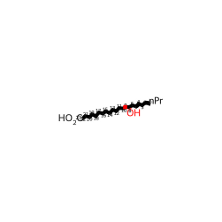 CCCC=CCC=CCC(O)CCCCCCCCCCCCCCC(=O)O